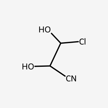 N#CC(O)C(O)Cl